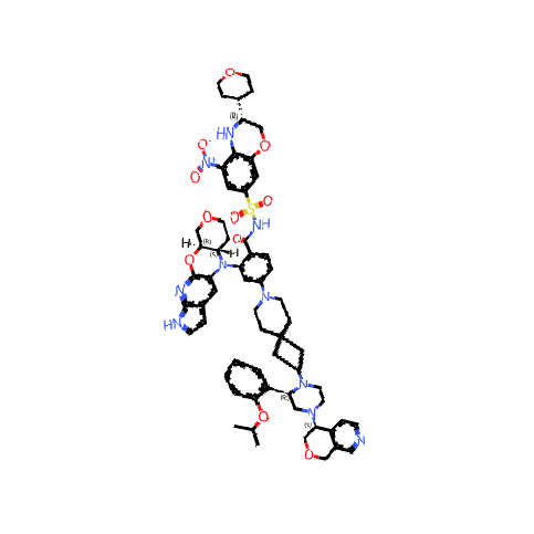 CC(C)Oc1ccccc1[C@@H]1CN([C@@H]2COCc3cnccc32)CCN1C1CC2(CCN(c3ccc(C(=O)NS(=O)(=O)c4cc5c(c([N+](=O)[O-])c4)N[C@H](C4CCOCC4)CO5)c(N4c5cc6cc[nH]c6nc5O[C@H]5COCC[C@@H]54)c3)CC2)C1